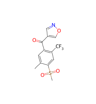 Cc1cc(C(=O)c2cnoc2)c(C(F)(F)F)cc1S(C)(=O)=O